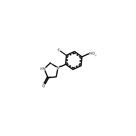 O=C1CN(c2ccc([N+](=O)[O-])cc2F)CN1